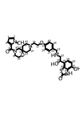 Cn1cccc1C(=O)N1CCOC2(CCN(CCOc3ccc(CNC[C@H](O)c4ccc(O)c5[nH]c(=O)sc45)cc3)CC2)C1